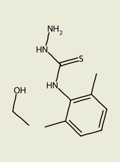 CCO.Cc1cccc(C)c1NC(=S)NN